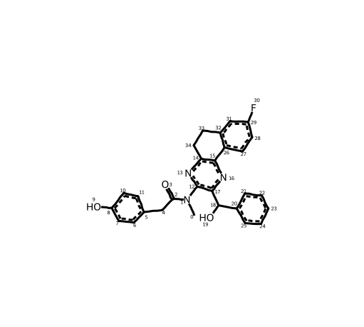 CN(C(=O)Cc1ccc(O)cc1)c1nc2c(nc1C(O)c1ccccc1)-c1ccc(F)cc1CC2